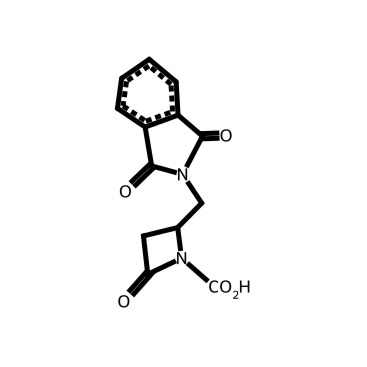 O=C1c2ccccc2C(=O)N1CC1CC(=O)N1C(=O)O